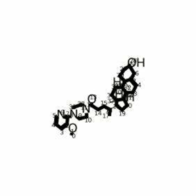 COc1cccnc1N1CCN(C(=O)CCC(C)[C@H]2CC[C@H]3[C@@H]4CC=C5C[C@@H](O)CC[C@]5(C)[C@H]4CC[C@]23C)CC1